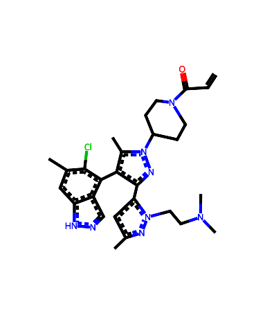 C=CC(=O)N1CCC(n2nc(-c3cc(C)nn3CCN(C)C)c(-c3c(Cl)c(C)cc4[nH]ncc34)c2C)CC1